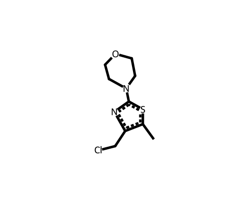 Cc1sc(N2CCOCC2)nc1CCl